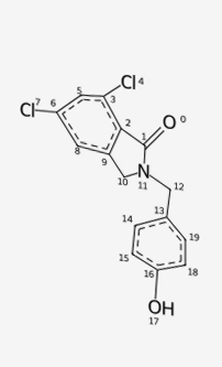 O=C1c2c(Cl)cc(Cl)cc2CN1Cc1ccc(O)cc1